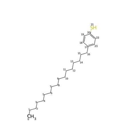 CCCCCCCCCCCCCCCCCc1ccc(S)cc1